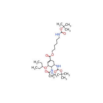 CCC(CC)OC1C=C(C(=O)OCCCCCCNC(=O)OC(C)(C)C)CC(NC(=O)OC(C)(C)C)C1NC(C)=O